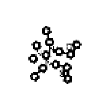 c1ccc2c(c#1)oc1c(-c3ccc(N(c4ccc(-c5ccccc5)cc4)c4cc(N(c5ccccc5)c5ccccc5)cc(N(c5ccc(C6=CCCC=C6)cc5)c5ccc(-c6cccc7c6oc6ccccc67)cc5)c4)cc3)cccc12